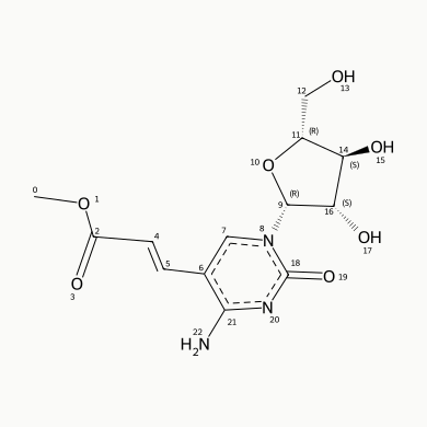 COC(=O)C=Cc1cn([C@@H]2O[C@H](CO)[C@@H](O)[C@@H]2O)c(=O)nc1N